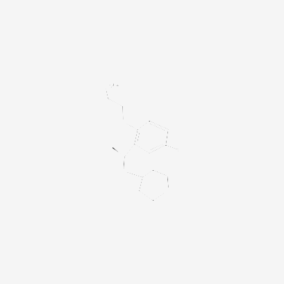 CC[C@H](OC1CCOCC1)c1cc(F)ccc1OCCOC